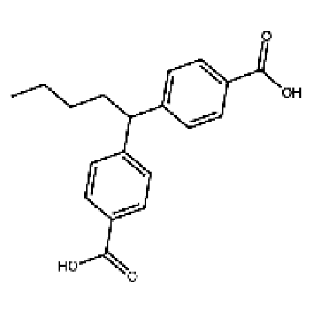 CCCCC(c1ccc(C(=O)O)cc1)c1ccc(C(=O)O)cc1